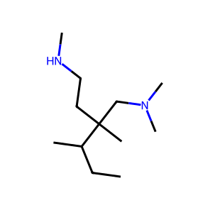 CCC(C)C(C)(CCNC)CN(C)C